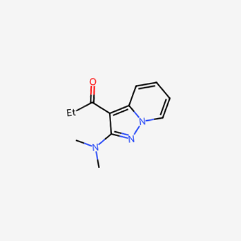 CCC(=O)c1c(N(C)C)nn2ccccc12